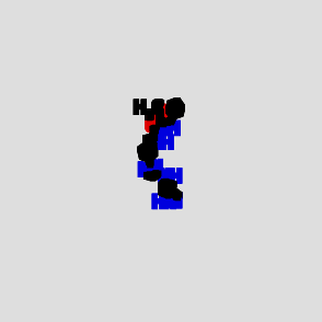 COC(=O)C(Cc1ccccc1)NC(=O)c1cc2ccc(-c3nccc(Nc4ccc5[nH]ncc5c4)n3)cc2[nH]1